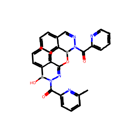 Cc1cccc(C(=O)N2N=C(OB3c4ccccc4C=NN3C(=O)c3ccccn3)c3ccccc3B2O)n1